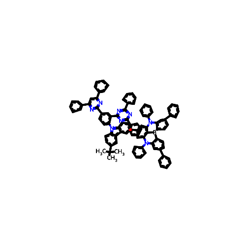 CC(C)(C)c1ccc2c(c1)c1cc(-c3cc4c5c(c3)N(c3ccccc3)c3cc(-c6ccccc6)ccc3B5c3ccc(-c5ccccc5)cc3N4c3ccccc3)ccc1n2-c1ccc(-c2nc(-c3ccccc3)cc(-c3ccccc3)n2)cc1-c1nc(-c2ccccc2)nc(-c2ccccc2)n1